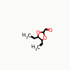 C=CC1OC(C=O)OC1C=C